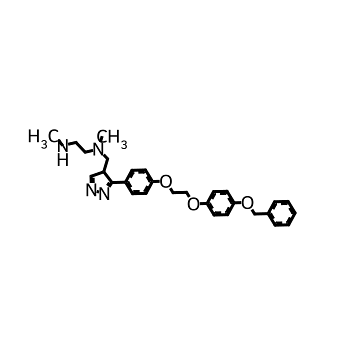 CNCCN(C)CC1C=NN=C1c1ccc(OCCOc2ccc(OCc3ccccc3)cc2)cc1